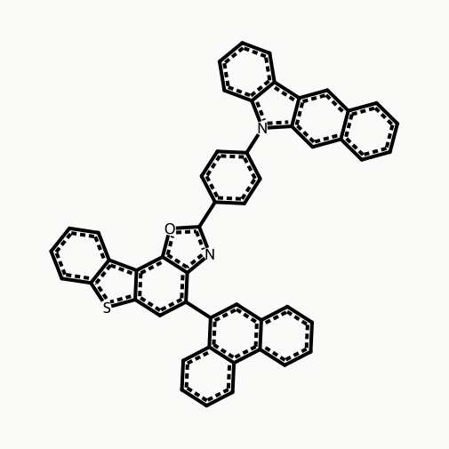 c1ccc2cc3c(cc2c1)c1ccccc1n3-c1ccc(-c2nc3c(-c4cc5ccccc5c5ccccc45)cc4sc5ccccc5c4c3o2)cc1